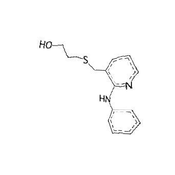 OCCSCc1cccnc1Nc1ccccc1